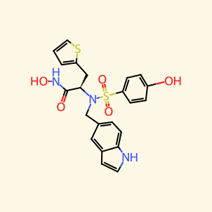 O=C(NO)[C@@H](Cc1cccs1)N(Cc1ccc2[nH]ccc2c1)S(=O)(=O)c1ccc(O)cc1